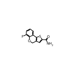 NC(=O)c1cc2c(s1)-c1cccc(F)c1OC2